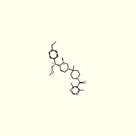 COC[C@@H](c1ccc(CF)cc1)N1CCN(C2(C)CCN(C(=O)c3c(C)ncnc3C)CC2)C[C@@H]1C